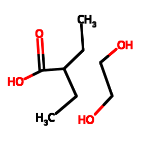 CCC(CC)C(=O)O.OCCO